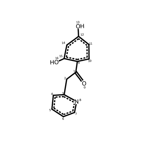 O=C(Cc1ccccn1)c1ccc(O)cc1O